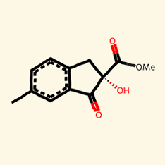 COC(=O)[C@]1(O)Cc2ccc(C)cc2C1=O